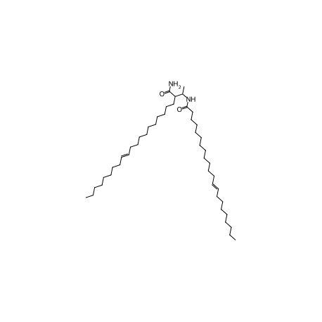 CCCCCCCCC=CCCCCCCCCCCCC(=O)NC(C)C(CCCCCCCCCCC=CCCCCCCCC)C(N)=O